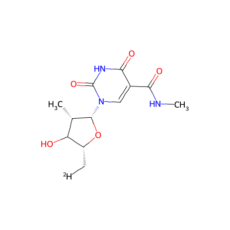 [2H]C[C@H]1O[C@@H](n2cc(C(=O)NC)c(=O)[nH]c2=O)[C@@H](C)C1O